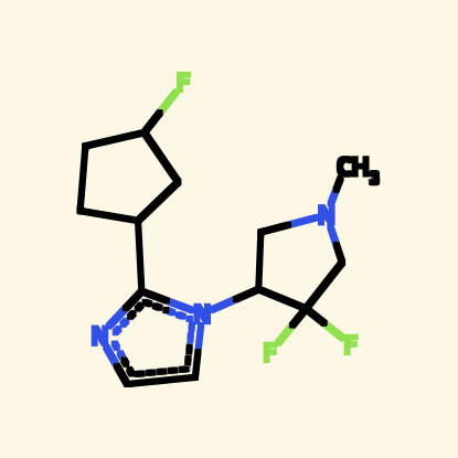 CN1CC(n2ccnc2C2CCC(F)C2)C(F)(F)C1